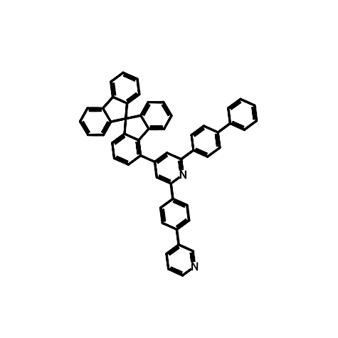 c1ccc(-c2ccc(-c3cc(-c4cccc5c4-c4ccccc4C54c5ccccc5-c5ccccc54)cc(-c4ccc(-c5cccnc5)cc4)n3)cc2)cc1